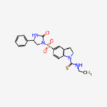 CCNC(=S)N1CCc2cc(S(=O)(=O)N3CC(c4ccccc4)NC3=O)ccc21